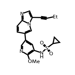 CCC#Cc1cnc2ccc(-c3cnc(OC)c(NS(=O)(=O)C4CC4)c3)cn12